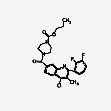 CCCOC(=O)N1CCN(C(=O)c2ccc3c(Cl)c(C)c(-c4cccc(F)c4F)nc3c2)CC1